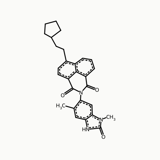 Cc1cc2[nH]c(=O)n(C)c2cc1N1C(=O)c2cccc3c(CCC4CCCC4)ccc(c23)C1=O